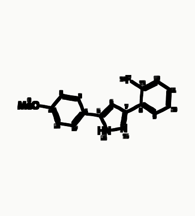 COc1ccc(-c2cc(-c3ccccc3F)n[nH]2)cc1